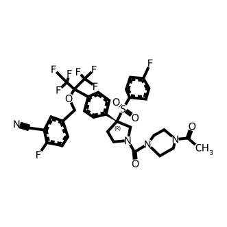 CC(=O)N1CCN(C(=O)N2CC[C@](c3ccc(C(OCc4ccc(F)c(C#N)c4)(C(F)(F)F)C(F)(F)F)cc3)(S(=O)(=O)c3ccc(F)cc3)C2)CC1